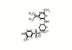 Cc1nc(N[C@H]2CC[C@@H](NS(=O)(=O)c3ccc(F)c(Cl)c3)CC2)cc(N(C)C)n1.Cl